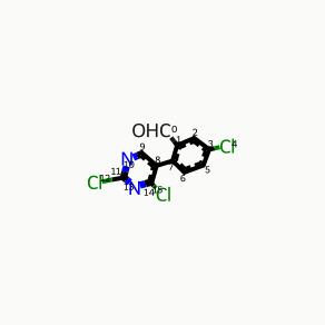 O=Cc1cc(Cl)ccc1-c1cnc(Cl)nc1Cl